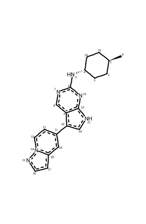 C[C@H]1CC[C@H](Nc2ncc3c(-c4ccn5nccc5c4)c[nH]c3n2)CC1